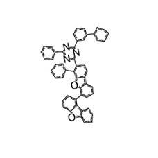 c1ccc(-c2cccc(-c3nc(-c4ccccc4)nc(-c4ccc5c(oc6c(-c7cccc8oc9ccccc9c78)cccc65)c4-c4ccccc4)n3)c2)cc1